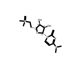 C=C1N=C(N(C)C)C=CN1[C@@H]1O[C@H](CCP(=C)(C)C)[C@@H](O)[C@H]1O